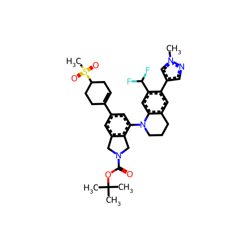 Cn1cc(-c2cc3c(cc2C(F)F)N(c2cc(C4=CCC(S(C)(=O)=O)CC4)cc4c2CN(C(=O)OC(C)(C)C)C4)CCC3)cn1